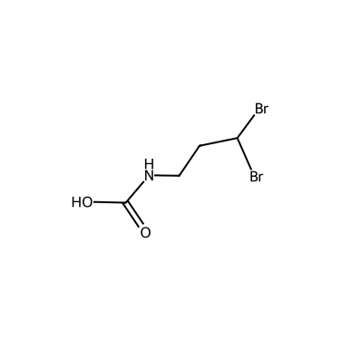 O=C(O)NCCC(Br)Br